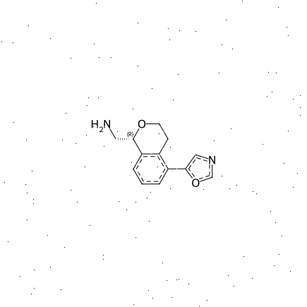 NC[C@@H]1OCCc2c(-c3cnco3)cccc21